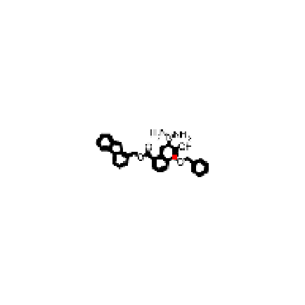 NN(N)C(Cc1c(C(=O)OCc2ccccc2)cccc1C(=O)OCc1cccc2c1Cc1ccccc1-2)C(=O)O